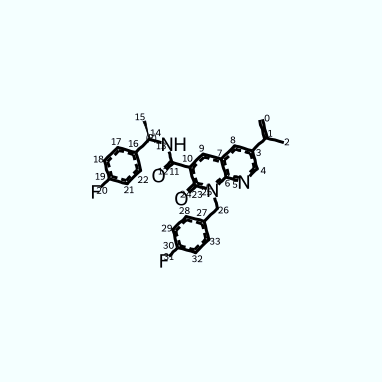 C=C(C)c1cnc2c(c1)cc(C(=O)N[C@H](C)c1ccc(F)cc1)c(=O)n2Cc1ccc(F)cc1